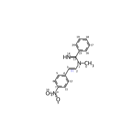 CN(/C=C/c1ccc([N+](=O)[O-])cc1)C(=N)c1ccccc1